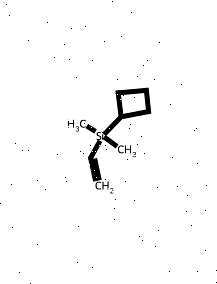 C=C[Si](C)(C)C1CCC1